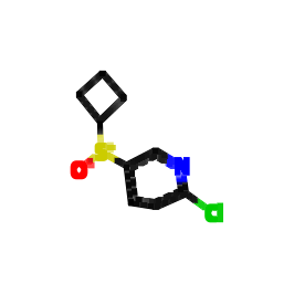 [O-][S+](c1ccc(Cl)nc1)C1CCC1